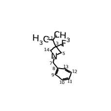 CC(C)C1(F)CN(Cc2ccccc2)C1